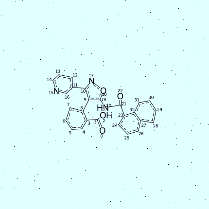 O=C(O)c1ccccc1-c1c(-c2cccnc2)noc1NC(=O)c1cccc2ccccc12